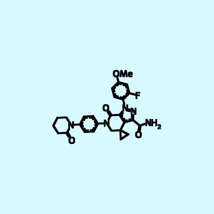 COc1ccc(-n2nc(C(N)=O)c3c2C(=O)N(c2ccc(N4CCCCC4=O)cc2)CC32CC2)c(F)c1